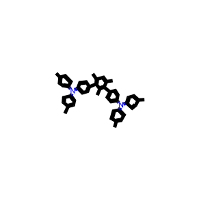 Cc1ccc(N(c2ccc(C)cc2)c2ccc(-c3c(C)cc(C)c(-c4ccc(N(c5ccc(C)cc5)c5ccc(C)cc5)cc4)c3C)cc2)cc1